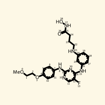 COCCOc1ccc(Nc2ncc(F)c(Nc3cccc(NCCCC(=O)NO)c3)n2)cc1